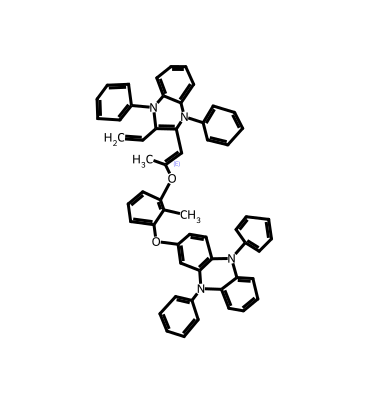 C=CC1=C(/C=C(\C)Oc2cccc(Oc3ccc4c(c3)N(c3ccccc3)c3ccccc3N4c3ccccc3)c2C)N(c2ccccc2)c2ccccc2N1c1ccccc1